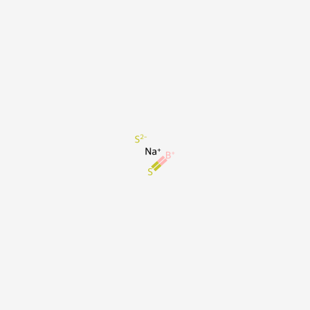 [B+]=S.[Na+].[S-2]